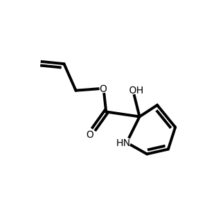 C=CCOC(=O)C1(O)C=CC=CN1